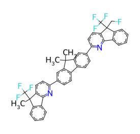 CC1(C)c2cc(-c3ccc4c(n3)-c3ccccc3C4(C)C(F)(F)F)ccc2-c2ccc(-c3ccc4c(n3)-c3ccccc3C4(CF)C(F)(F)F)cc21